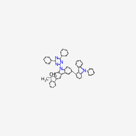 CC1(C)c2ccccc2-c2cc3c4cc(-c5cccc6c5c5ccccc5n6-c5ccccc5)ccc4n(-c4nc(-c5ccccc5)nc(-c5ccccc5)n4)c3cc21